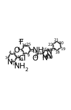 Nc1nccc(Oc2ccc(NC(=O)c3cn(-c4ccccc4)nn3)cc2F)c1Cl